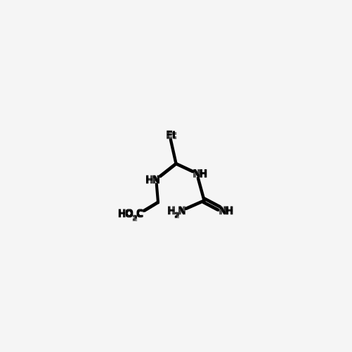 CCC(NCC(=O)O)NC(=N)N